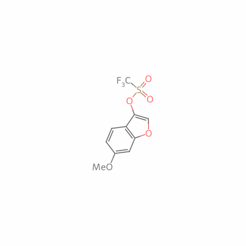 COc1ccc2c(OS(=O)(=O)C(F)(F)F)coc2c1